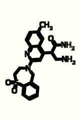 Cc1ccc2nc(N3CCS(=O)(=O)c4ccccc4C3)cc(C(CN)C(N)=O)c2c1